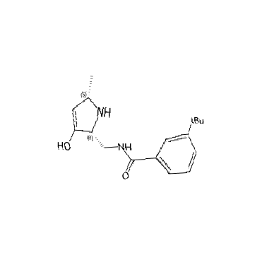 C[C@H]1C=C(O)[C@@H](CNC(=O)c2cccc(C(C)(C)C)c2)N1